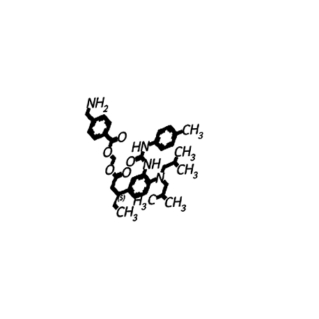 CC[C@@H](CC(=O)OCOC(=O)c1ccc(CN)cc1)c1ccc(N(CC(C)C)CC(C)C)c(NC(=O)Nc2ccc(C)cc2)c1